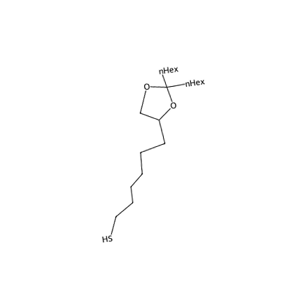 CCCCCCC1(CCCCCC)OCC(CCCCCCS)O1